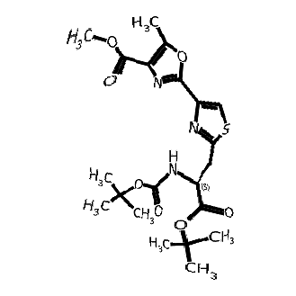 COC(=O)c1nc(-c2csc(C[C@H](NC(=O)OC(C)(C)C)C(=O)OC(C)(C)C)n2)oc1C